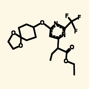 CCOC(=O)C(CC)c1cc(OC2CCC3(CC2)OCCO3)nc(C(F)(F)F)n1